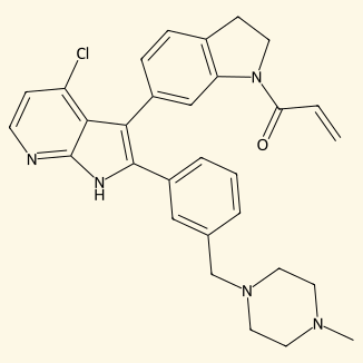 C=CC(=O)N1CCc2ccc(-c3c(-c4cccc(CN5CCN(C)CC5)c4)[nH]c4nccc(Cl)c34)cc21